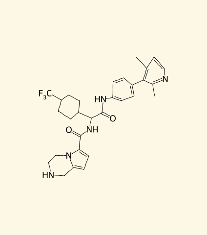 Cc1ccnc(C)c1-c1ccc(NC(=O)C(NC(=O)c2ccc3n2CCNC3)C2CCC(C(F)(F)F)CC2)cc1